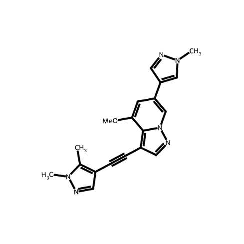 COc1cc(-c2cnn(C)c2)cn2ncc(C#Cc3cnn(C)c3C)c12